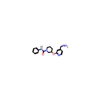 NCc1ccnc(OC2CCCN(C(=O)Nc3ccccc3)C2)c1